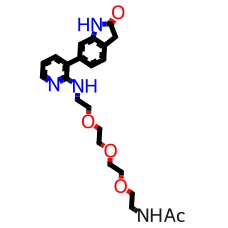 CC(=O)NCCOCCOCCOCCNc1ncccc1-c1ccc2c(c1)NC(=O)C2